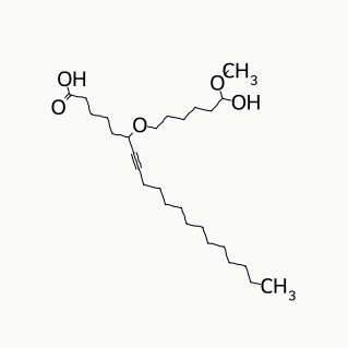 CCCCCCCCCCCCC#CC(CCCCC(=O)O)OCCCCCC(O)OC